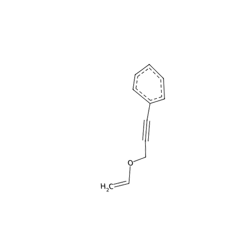 C=COCC#Cc1ccccc1